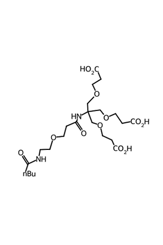 CCCCC(=O)NCCOCCC(=O)NC(COCCC(=O)O)(COCCC(=O)O)COCCC(=O)O